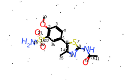 COc1ccc(-c2sc(NC(C)=O)nc2C)cc1S(N)(=O)=O